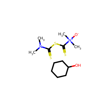 CN(C)C(=S)SC(=S)[N+](C)(C)[O-].O[C]1CCCCC1